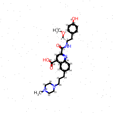 COC[C@H](Cc1ccc(O)cc1)NC(=O)c1cc(C(=O)O)c2cc(CCCN3CCN(C)CC3)ccc2n1